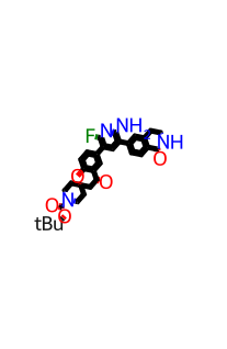 CC(C)(C)OC(=O)N1CCC2(CC1)CC(=O)c1cc(-c3cc(-c4ccc5c(c4)CCNC5=O)c(N)nc3F)ccc1O2